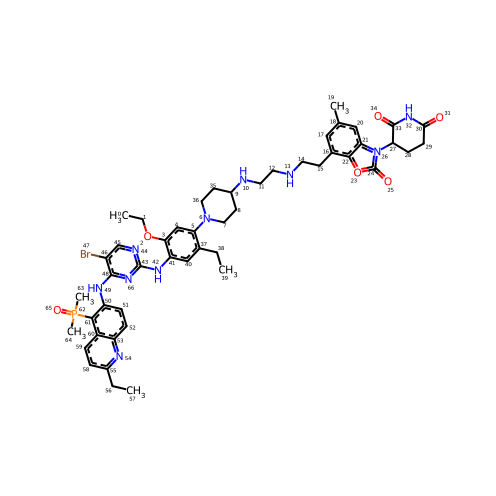 CCOc1cc(N2CCC(NCCNCCc3cc(C)cc4c3oc(=O)n4C3CCC(=O)NC3=O)CC2)c(CC)cc1Nc1ncc(Br)c(Nc2ccc3nc(CC)ccc3c2P(C)(C)=O)n1